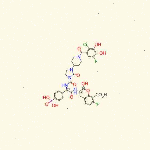 O=C(O)c1c(F)ccc2c1OB(O)[C@@H](NC(=O)[C@H](NC(=O)N1CCN(C3CCN(C(=O)c4cc(F)c(O)c(O)c4Cl)CC3)C1=O)c1ccc(P(=O)(O)O)cc1)C2